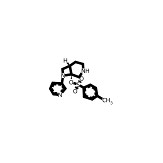 Cc1ccc(S(=O)(=O)O[C@@]23CNCC[C@H]2CN3c2cccnc2)cc1